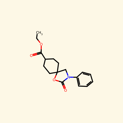 CCOC(=O)C1CCC2(CC1)CN(c1ccccc1)C(=O)O2